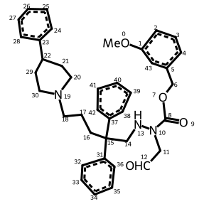 COc1cccc(COC(=O)N(CC=O)NCC(CCCN2CCC(c3ccccc3)CC2)(c2ccccc2)c2ccccc2)c1